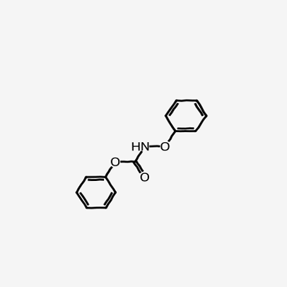 O=C(NOc1ccccc1)Oc1ccccc1